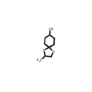 N#CC1CCC2(CC1)OCC(C(F)(F)F)O2